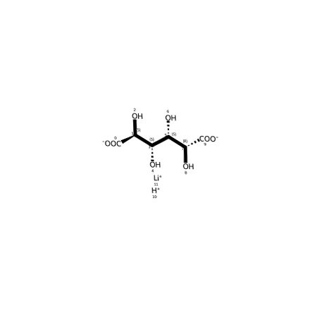 O=C([O-])[C@@H](O)[C@@H](O)[C@H](O)[C@@H](O)C(=O)[O-].[H+].[Li+]